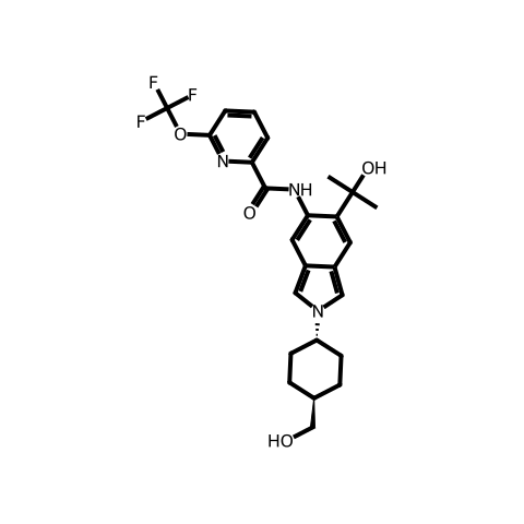 CC(C)(O)c1cc2cn([C@H]3CC[C@H](CO)CC3)cc2cc1NC(=O)c1cccc(OC(F)(F)F)n1